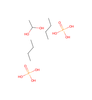 CC(O)O.CCCC.CCCC.O=P(O)(O)O.O=P(O)(O)O